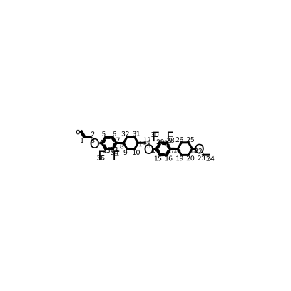 C=CCOc1ccc(C2CCC(COc3ccc(C4CCC(OCC)CC4)c(F)c3F)CC2)c(F)c1F